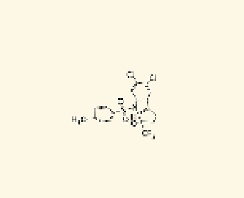 Cc1ccc(S(=O)(=O)n2c3c(c4cc(Cl)c(Cl)cc42)CCC3(O)C(F)(F)F)cc1